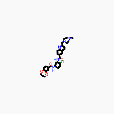 CCN1CCN(Cc2ccc3cc(C(=O)Nc4cc(NC(=O)c5ccc6c(c5)OCCCO6)ccc4Cl)ccc3n2)CC1